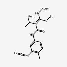 CCCCCCCCNC(SCC)=[N+](C(=O)Nc1ccc(C)c(N=C=O)c1)C(C)CCCCC